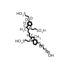 CC1(C)C(CCCC2N(CCS(=O)(=O)O)c3ccc(S(=O)(=O)CCS(=O)(=O)O)cc3C2(C)C)=[N+](CCS(=O)(=O)O)c2ccc(SOOCSOOO)cc21